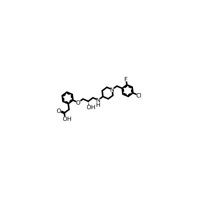 O=C(O)Cc1ccccc1OC[C@@H](O)CNC1CCN(Cc2ccc(Cl)cc2F)CC1